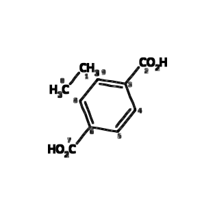 CC.O=C(O)c1ccc(C(=O)O)cc1